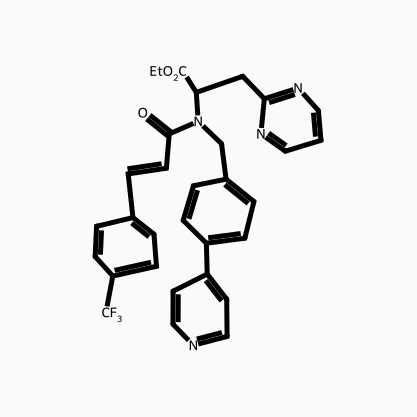 CCOC(=O)C(Cc1ncccn1)N(Cc1ccc(-c2ccncc2)cc1)C(=O)C=Cc1ccc(C(F)(F)F)cc1